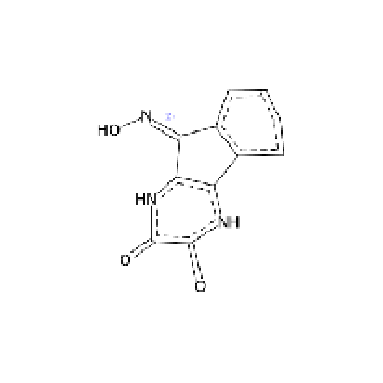 O=c1[nH]c2c([nH]c1=O)-c1ccccc1/C2=N/O